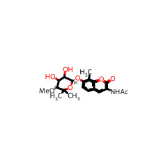 CO[C@@H]1C(O)C(O)[C@H](Oc2ccc3cc(NC(C)=O)c(=O)oc3c2C)OC1(C)C